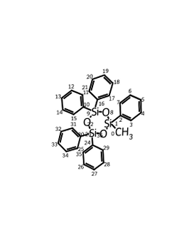 C[Si]1(c2ccccc2)O[Si](c2ccccc2)(c2ccccc2)O[Si](c2ccccc2)(c2ccccc2)O1